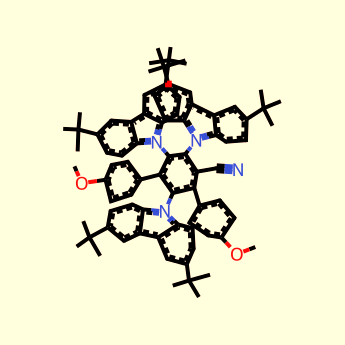 COc1ccc(-c2c(C#N)c(-n3c4ccc(C(C)(C)C)cc4c4cc(C(C)(C)C)ccc43)c(-n3c4ccc(C(C)(C)C)cc4c4cc(C(C)(C)C)ccc43)c(-c3ccc(OC)cc3)c2-n2c3ccc(C(C)(C)C)cc3c3cc(C(C)(C)C)ccc32)cc1